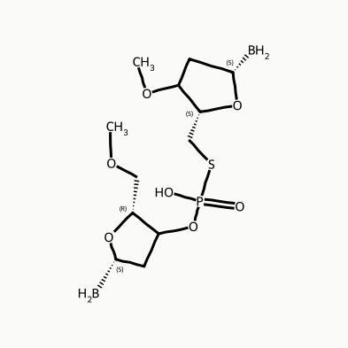 B[C@H]1CC(OC)[C@@H](CSP(=O)(O)OC2C[C@H](B)O[C@@H]2COC)O1